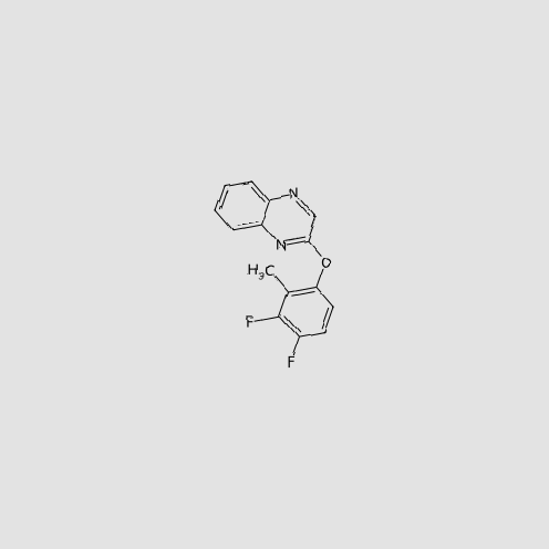 Cc1c(Oc2cnc3ccccc3n2)ccc(F)c1F